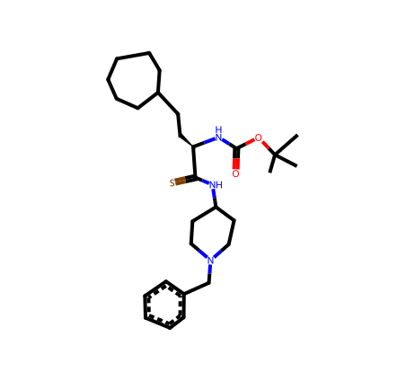 CC(C)(C)OC(=O)N[C@H](CCC1CCCCCC1)C(=S)NC1CCN(Cc2ccccc2)CC1